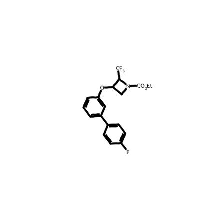 CCOC(=O)N1CC(Oc2cccc(-c3ccc(F)cc3)c2)C1C(F)(F)F